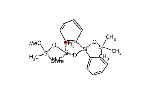 CO[Si](C)(OC)O[Si](C)(C)O[Si](O[Si](C)(C)C)(c1ccccc1)c1ccccc1